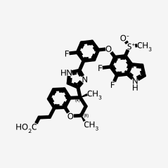 C[C@@H]1C[C@@](C)(c2c[nH]c(-c3cc(Oc4c(F)c(F)c5[nH]ccc5c4[S+](C)[O-])ccc3F)n2)c2cccc(CCC(=O)O)c2O1